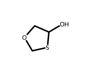 OC1COCS1